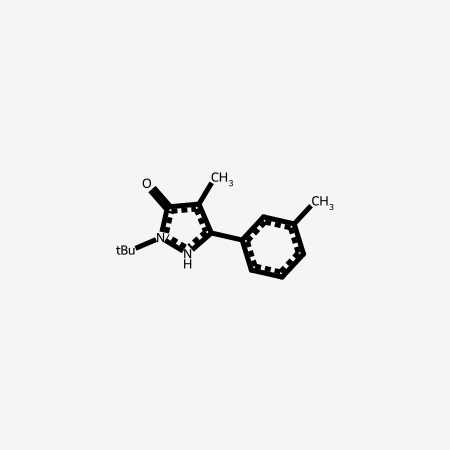 Cc1cccc(-c2[nH]n(C(C)(C)C)c(=O)c2C)c1